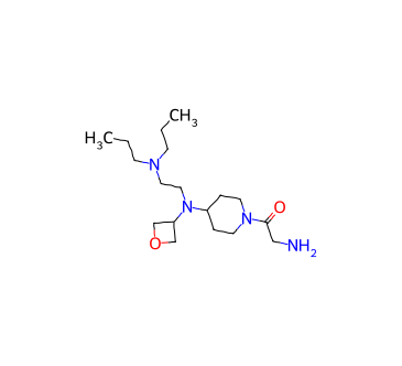 CCCN(CCC)CCN(C1CCN(C(=O)CN)CC1)C1COC1